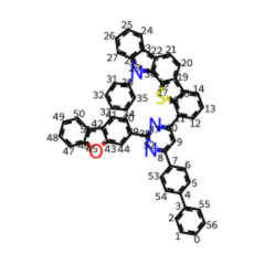 c1ccc(-c2ccc(-c3cc(-c4cccc5c4sc4c5ccc5c6ccccc6n(-c6ccccc6)c54)nc(-c4ccc5c(c4)oc4ccccc45)n3)cc2)cc1